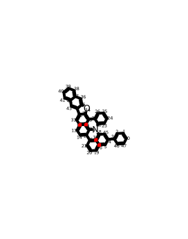 c1ccc(-c2cccc(N(c3ccccc3-c3ccccc3)c3ccccc3-c3cccc4c3oc3cc5ccccc5cc34)c2)cc1